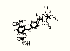 CC(C)(C)OC(=O)Nc1ccc(Cc2cc([N+](=O)[O-])ccc2OC(=O)O)cn1